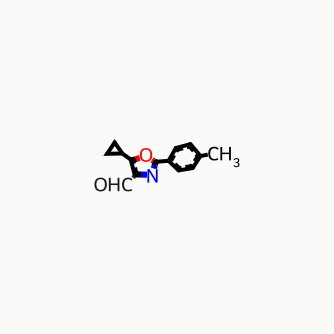 Cc1ccc(-c2nc(C=O)c(C3CC3)o2)cc1